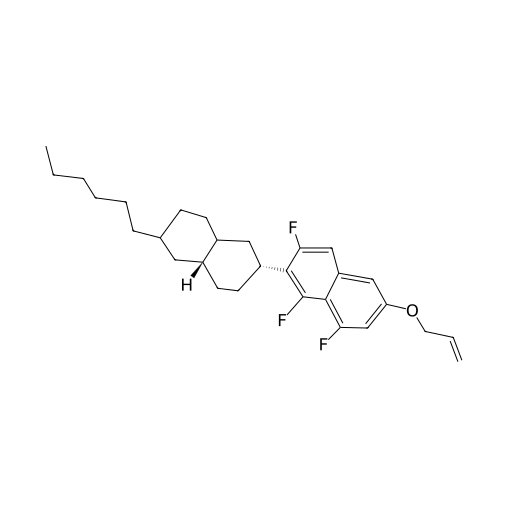 C=CCOc1cc(F)c2c(F)c([C@@H]3CC[C@@H]4CC(CCCCCC)CCC4C3)c(F)cc2c1